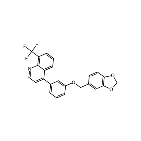 FC(F)(F)c1cccc2c(-c3cccc(OCc4ccc5c(c4)OCO5)c3)ccnc12